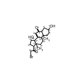 CC12CCC(O)CC1C(=O)C=C1C2CCC2(C)C(C(=O)CBr)CC[C@@]12O